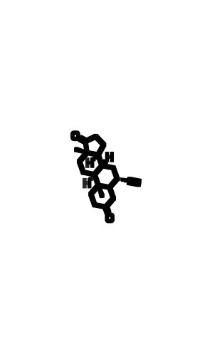 C#C[C@H]1C[C@@H]2[C@H](CC[C@]3(C)C(=O)CC[C@@H]23)[C@@]2(C)CCC(=O)CC12